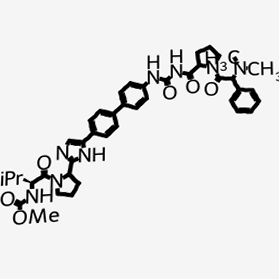 COC(=O)N[C@H](C(=O)N1CCCC1c1ncc(-c2ccc(-c3ccc(NC(=O)NC(=O)C4CCCN4C(=O)C(c4ccccc4)N(C)C)cc3)cc2)[nH]1)C(C)C